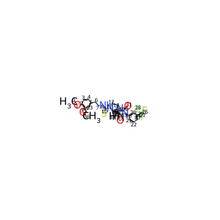 COc1ccc(CCNC(=S)N2CC3C[C@@H]2[C@@H]2C(=O)N(c4cccc(C(F)(F)F)c4)C(=O)N32)cc1OC